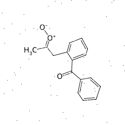 CC(Cc1ccccc1C(=O)c1ccccc1)=[O+][O-]